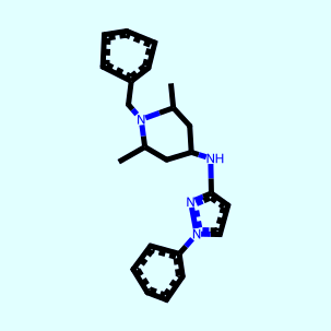 CC1CC(Nc2ccn(-c3ccccc3)n2)CC(C)N1Cc1ccccc1